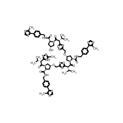 Cc1nnc([C@H](C(=O)N2C[C@H](OCc3noc([C@H](C(=O)N4C[C@H](OCc5nsc([C@H](C(=O)N6C[C@H](O)C[C@H]6C(=O)NCc6ccc(-c7scnc7C)cc6)C(C)C)n5)C[C@H]4C(=O)NCc4ccc(-c5scnc5C)cc4)C(C)C)n3)C[C@H]2C(=O)NCc2ccc(-c3scnc3C)cc2)C(C)C)[nH]1